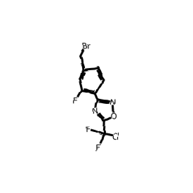 Fc1cc(CBr)ccc1-c1noc(C(F)(F)Cl)n1